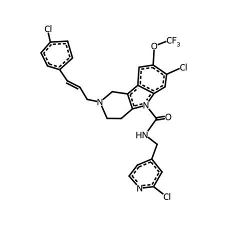 O=C(NCc1ccnc(Cl)c1)n1c2c(c3cc(OC(F)(F)F)c(Cl)cc31)CN(C/C=C/c1ccc(Cl)cc1)CC2